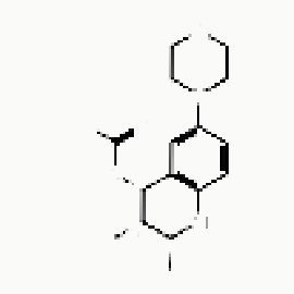 C[C@@H]1[C@H](C)Nc2ccc(N3CCOCC3)cc2[C@@H]1NC(=O)O